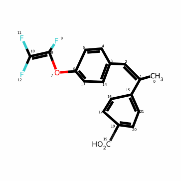 CC(=Cc1ccc(OC(F)=C(F)F)cc1)c1ccc(C(=O)O)cc1